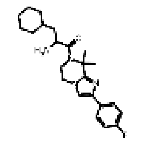 CC1(C)c2nc(-c3ccc(F)cc3)cn2CCN1C(=O)C(N)CC1CCCCC1